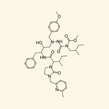 CCC(C)CN(C(=O)NN(Cc1ccc(OC)cc1)CC(O)C(Cc1ccccc1)NC(=O)C(C(C)CC)N1CCN(Cc2cccc(C)n2)C1=O)C(=O)OC